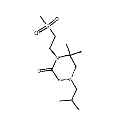 CC(C)CN1CC(=O)N(CCS(C)(=O)=O)C(C)(C)C1